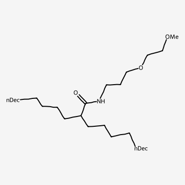 CCCCCCCCCCCCCCC(CCCCCCCCCCCCCC)C(=O)NCCCOCCOC